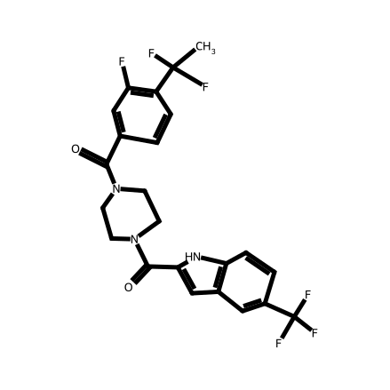 CC(F)(F)c1ccc(C(=O)N2CCN(C(=O)c3cc4cc(C(F)(F)F)ccc4[nH]3)CC2)cc1F